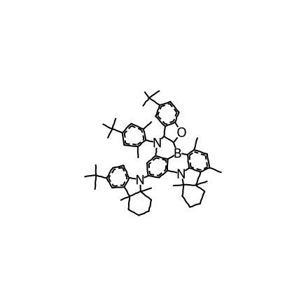 Cc1cc(C)c2c3c1B1c4c(cc(N5c6ccc(C(C)(C)C)cc6C6(C)CCCCC56C)cc4N3C3(C)CCCCC23C)N(c2c(C)cc(C(C)(C)C)cc2C)C2c3cc(C(C)(C)C)ccc3OC12